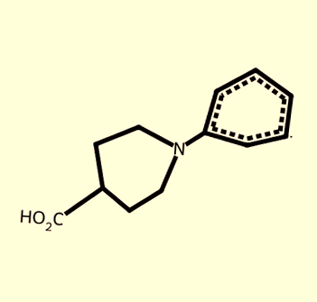 O=C(O)C1CCN(c2c[c]ccc2)CC1